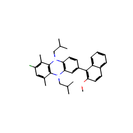 COc1ccc2ccccc2c1-c1ccc2c(c1)N(CC(C)C)c1c(C)cc(F)c(C)c1N2CC(C)C